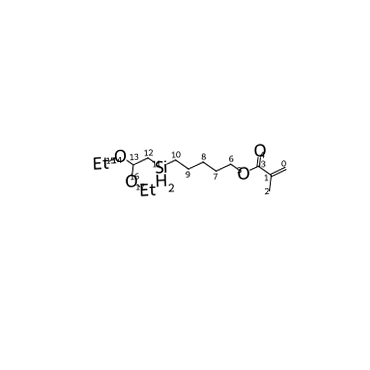 C=C(C)C(=O)OCCCCC[SiH2]CC(OCC)OCC